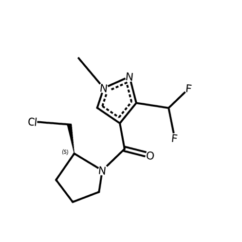 Cn1cc(C(=O)N2CCC[C@H]2CCl)c(C(F)F)n1